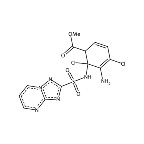 COC(=O)C1C=CC(Cl)=C(N)C1(Cl)NS(=O)(=O)c1nc2ncccn2n1